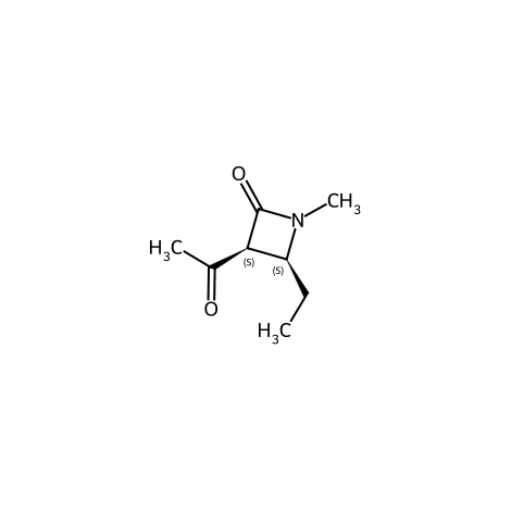 CC[C@H]1[C@@H](C(C)=O)C(=O)N1C